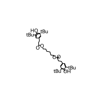 CC(C)(C)c1cc(CCC(=O)OCCCCCCOC(=O)CCC2=CC3(C(C)(C)C)CCC2C(C(C)(C)C)C3O)cc(C(C)(C)C)c1O